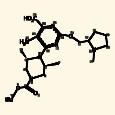 C[C@H]1CN(C(=O)OC(C)(C)C)C[C@H](C)N1c1nc(OCC2CCCN2C)nc(C(=O)O)c1N